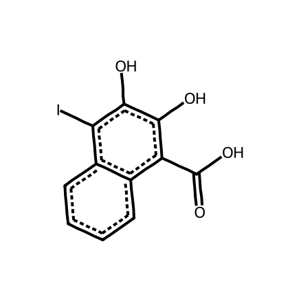 O=C(O)c1c(O)c(O)c(I)c2ccccc12